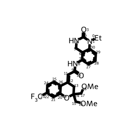 CCN1C(=O)NCc2c(NC(=O)/C=C3\CC(COC)(COC)Oc4cc(C(F)(F)F)ccc43)cccc21